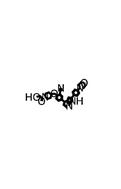 N#Cc1cc(-c2ccnc3[nH]c(-c4ccc(N5CCOCC5)cc4)cc23)ccc1OC1CCN(C(=O)CO)CC1